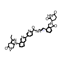 CCc1nn(-c2cccc3cc(-c4ccc(C(=O)NC/C=C/c5cccc6c5CN(C5CCC(=O)NC5=O)C6=O)nc4)ncc23)c2c1CC(=O)N(C)C2